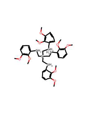 COc1cccc([SiH2]C[Si](C[SiH2]c2cccc(OC)c2OC)(C[SiH2]c2cccc(OC)c2OC)C[SiH2]c2cccc(OC)c2OC)c1OC